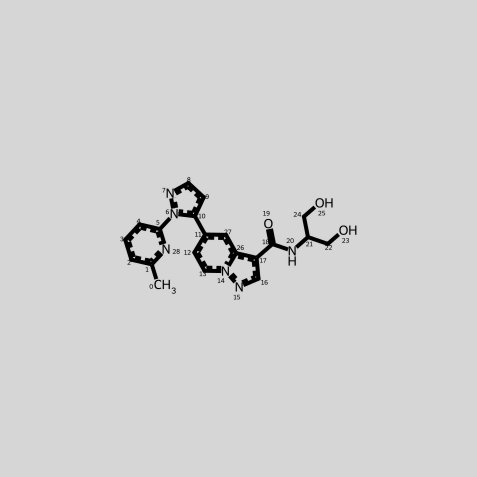 Cc1cccc(-n2nccc2-c2ccn3ncc(C(=O)NC(CO)CO)c3c2)n1